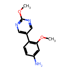 COc1ncc(-c2ccc(N)cc2OC)cn1